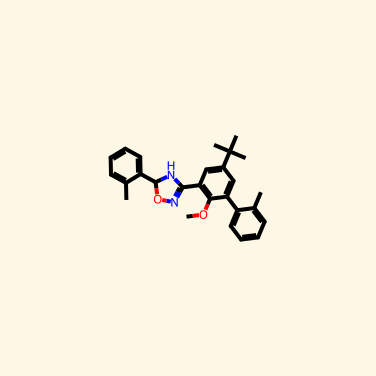 COc1c(C2=NOC(c3ccccc3C)N2)cc(C(C)(C)C)cc1-c1ccccc1C